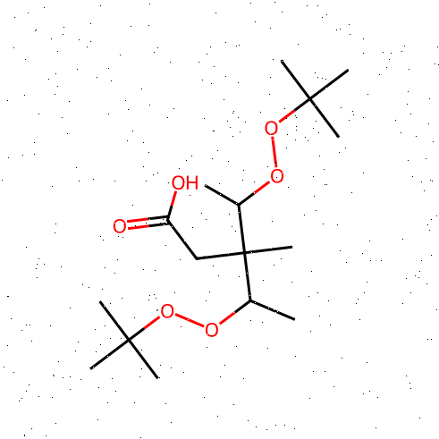 CC(OOC(C)(C)C)C(C)(CC(=O)O)C(C)OOC(C)(C)C